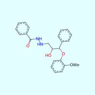 COc1ccccc1OC(c1ccccc1)C(O)CNNC(=O)c1ccccc1